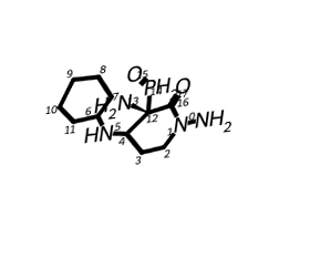 NN1CCC(NC2CCCCC2)[C@](N)([PH2]=O)C1=O